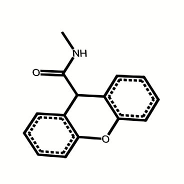 CNC(=O)C1c2ccccc2Oc2ccccc21